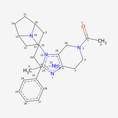 CC(=O)N1CCc2nc(C)n(C3CC4CCC(C3)N4CC[C@H](N)c3ccccc3)c2C1